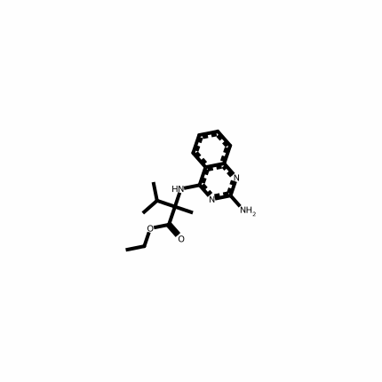 CCOC(=O)C(C)(Nc1nc(N)nc2ccccc12)C(C)C